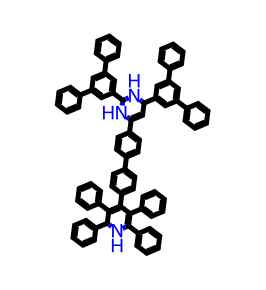 C1=C(c2ccc(-c3ccc(C4=C(c5ccccc5)C(c5ccccc5)NC(c5ccccc5)=C4c4ccccc4)cc3)cc2)NC(c2cc(-c3ccccc3)cc(-c3ccccc3)c2)NC1c1cc(-c2ccccc2)cc(-c2ccccc2)c1